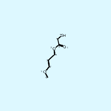 COCCCOC(=O)CS